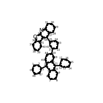 c1ccc(-c2c3ccccc3c(-c3ccccc3)c3cc(-c4cccc(-c5c6ccccc6nc6oc7ccccc7c56)c4)ccc23)cc1